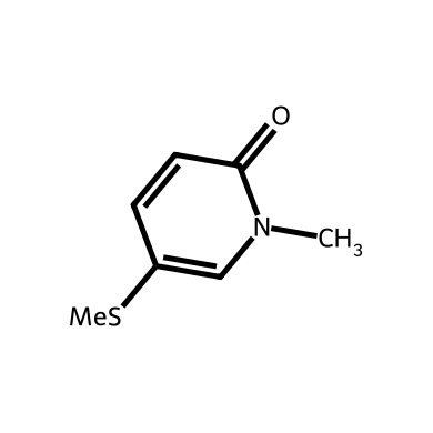 CSc1ccc(=O)n(C)c1